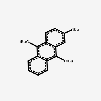 CC(C)COc1c2ccccc2c(OCC(C)C)c2cc(C(C)(C)C)ccc12